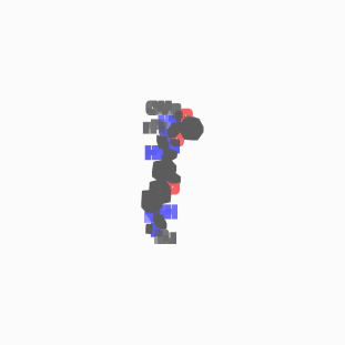 CCCN(Cc1ncc(-c2ccc3c(c2)COc2cc4c(ccc5nc(CN(C)[C@@H](C)CC)[nH]c54)cc2-3)[nH]1)C(=O)C(NC(=O)OC)c1ccccc1